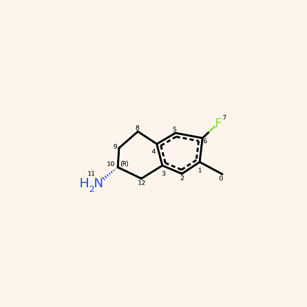 Cc1cc2c(cc1F)CC[C@@H](N)C2